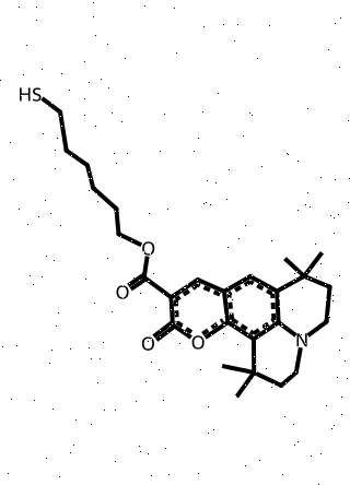 CC1(C)CCN2CCC(C)(C)c3c2c1cc1cc(C(=O)OCCCCCCS)c(=O)oc31